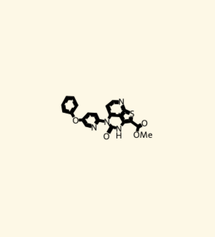 COC(=O)c1sc2nccc3c2c1NC(=O)N3c1ccc(Oc2ccccc2)cn1